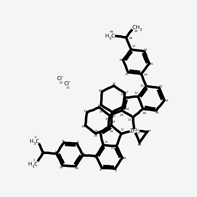 CC(C)c1ccc(-c2cccc3c2C=C(C2CCCCC2)[CH]3[Zr+2]2([CH]3C(C4CCCCC4)=Cc4c(-c5ccc(C(C)C)cc5)cccc43)[CH2][CH2]2)cc1.[Cl-].[Cl-]